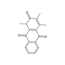 CC1=C(C)C2=C(C(=O)c3ccccc3C2=O)C(C)C1=O